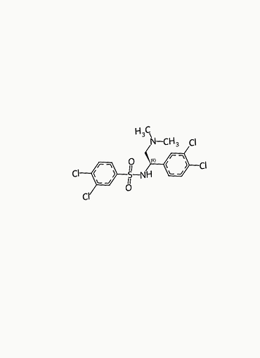 CN(C)C[C@H](NS(=O)(=O)c1ccc(Cl)c(Cl)c1)c1ccc(Cl)c(Cl)c1